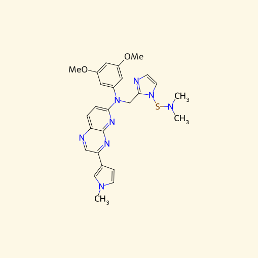 COc1cc(OC)cc(N(Cc2nccn2SN(C)C)c2ccc3ncc(-c4ccn(C)c4)nc3n2)c1